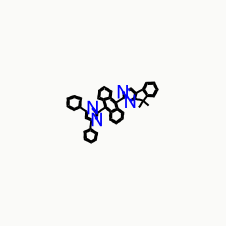 CC1(C)c2ccccc2-c2cnc(-c3c4ccccc4c(-c4nc(-c5ccccc5)cc(-c5ccccc5)n4)c4ccccc34)nc21